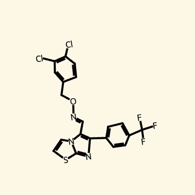 FC(F)(F)c1ccc(-c2nc3sccn3c2C=NOCc2ccc(Cl)c(Cl)c2)cc1